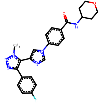 Cn1nnc(-c2ccc(F)cc2)c1-c1cn(-c2ccc(C(=O)NC3CCOCC3)cc2)cn1